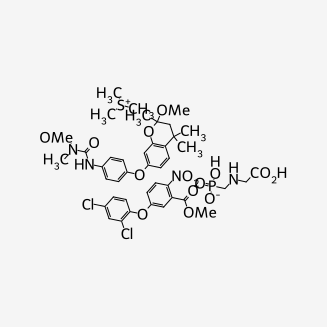 COC(=O)c1cc(Oc2ccc(Cl)cc2Cl)ccc1[N+](=O)[O-].CON(C)C(=O)Nc1ccc(Oc2ccc3c(c2)OC(C)(OC)CC3(C)C)cc1.C[S+](C)C.O=C(O)CNCP(=O)([O-])O